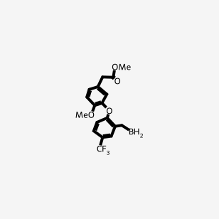 BCc1cc(C(F)(F)F)ccc1Oc1cc(CC(=O)OC)ccc1OC